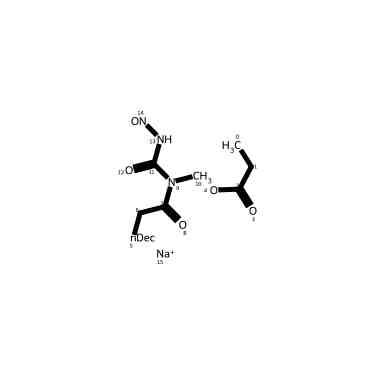 CCC(=O)[O-].CCCCCCCCCCCC(=O)N(C)C(=O)NN=O.[Na+]